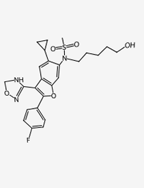 CS(=O)(=O)N(CCCCCO)c1cc2oc(-c3ccc(F)cc3)c(C3=NOCN3)c2cc1C1CC1